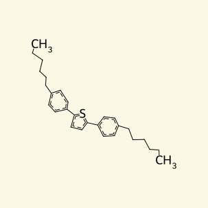 CCCCCCc1ccc(-c2ccc(-c3ccc(CCCCCC)cc3)s2)cc1